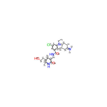 CCN(c1cc(Cl)cc(C(=O)NCc2c(C)c(CCO)c(C)[nH]c2=O)c1C)C1CCC(N(C)C)CC1